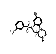 O=S(=O)(c1cccc(C(F)(F)F)c1)N1C[C@@H]2CNCCN2c2ccc(Br)cc21